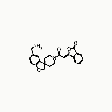 NCc1ccc2c(c1)C1(CCN(C(=O)C=C3OC(=O)c4ccccc43)CC1)CO2